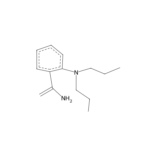 C=C(N)c1ccccc1N(CCC)CCC